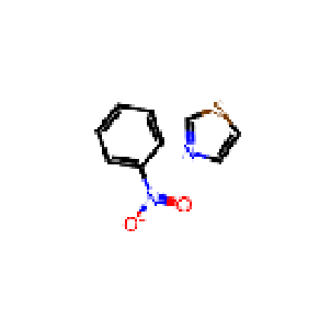 O=[N+]([O-])c1ccccc1.c1cscn1